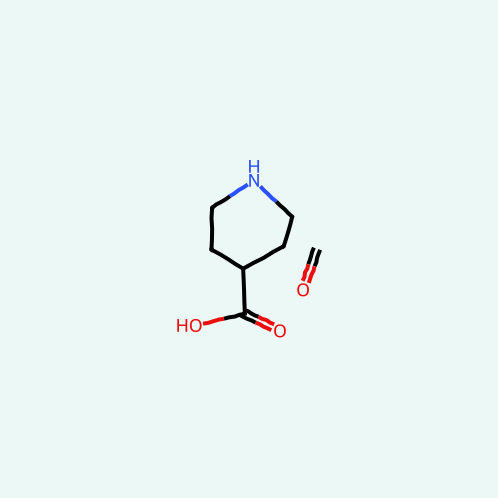 C=O.O=C(O)C1CCNCC1